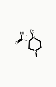 CCN1CCN(C)C[C@@H]1C(N)=O